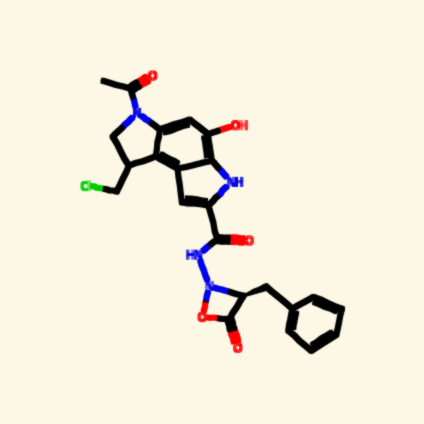 CC(=O)N1CC(CCl)c2c1cc(O)c1[nH]c(C(=O)NN3OC(=O)[C@@H]3Cc3ccccc3)cc21